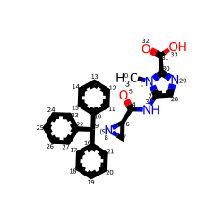 Cn1c(NC(=O)C2C[N@@]2C(c2ccccc2)(c2ccccc2)c2ccccc2)cnc1C(=O)O